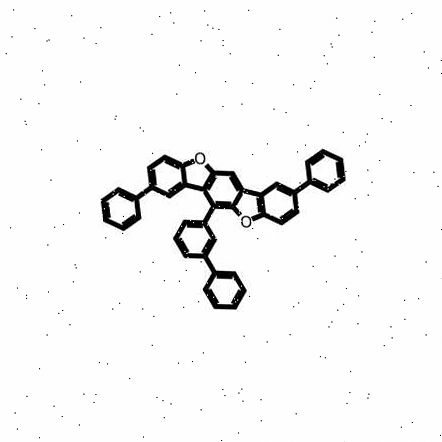 c1ccc(-c2cccc(-c3c4oc5ccc(-c6ccccc6)cc5c4cc4oc5ccc(-c6ccccc6)cc5c34)c2)cc1